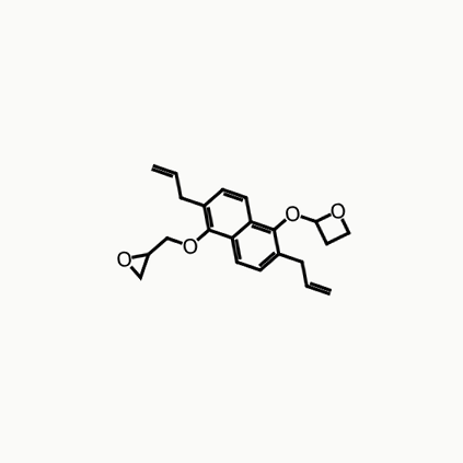 C=CCc1ccc2c(OC3CCO3)c(CC=C)ccc2c1OCC1CO1